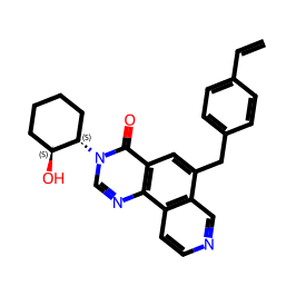 C=Cc1ccc(Cc2cc3c(=O)n([C@H]4CCCC[C@@H]4O)cnc3c3ccncc23)cc1